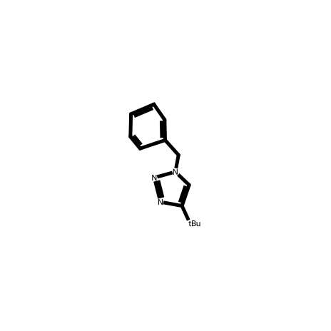 CC(C)(C)c1cn(Cc2ccccc2)nn1